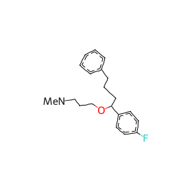 CNCCCOC(CCCc1ccccc1)c1ccc(F)cc1